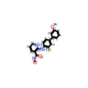 COc1cccc(-c2ccc(NC3=C(C(=O)N=O)C=CCN3)c(F)c2)c1